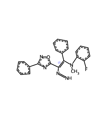 CN(/C(=C(\N=N)c1nc(-c2ccccc2)no1)c1ccccc1)c1ccccc1F